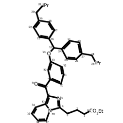 CCOC(=O)CCCc1nc(C(=O)c2cccc(OC(c3ccc(CC(C)C)cc3)c3ccc(CC(C)C)cc3)c2)c2ccccn12